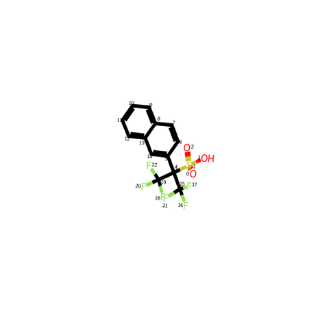 O=S(=O)(O)C(c1ccc2ccccc2c1)(C(F)(F)F)C(F)(F)F